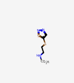 O=C(O)NCCSc1cnns1